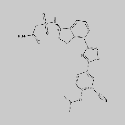 CC(C)Oc1ccc(-c2nc(-c3cccc4c3CC[C@H]4NS(=O)(=O)CC(N)=O)no2)cc1C#N